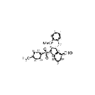 COc1ccccc1C[C@H]1CN(S(=O)(=O)c2ccc(C)cc2)c2cccc(C=O)c21